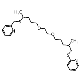 CC(CCCOCCOCCCC(C)SSc1ccccn1)SCc1ccccn1